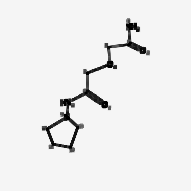 NC(=O)COCC(=O)NN1CCCC1